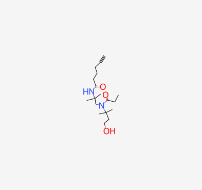 C#CCCCC(=O)NC(C)(C)CN(C(=O)CC)C(C)(C)CCO